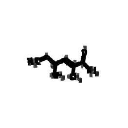 CCC(N)/C=C(\C)C(N)=O